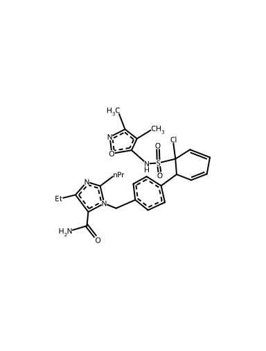 CCCc1nc(CC)c(C(N)=O)n1Cc1ccc(C2C=CC=CC2(Cl)S(=O)(=O)Nc2onc(C)c2C)cc1